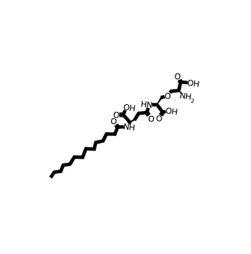 CCCCCCCCCCCCCC(=O)N[C@H](CCC(=O)N[C@@H](COC[C@@H](N)C(=O)O)C(=O)O)C(=O)O